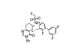 CC(C)n1cnc2c(c1=O)[C@@H](Cc1cccc(-c3cc(F)cc(F)c3)c1F)[C@@H](NS(=O)(=O)CF)CC2